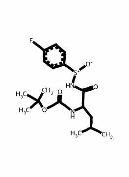 CC(C)CC(NC(=O)OC(C)(C)C)C(=O)N[S+]([O-])c1ccc(F)cc1